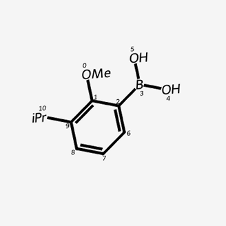 COc1c(B(O)O)cccc1C(C)C